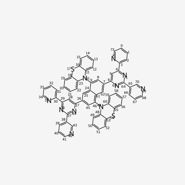 c1ccc(-c2cc(-c3cc(N4c5ccccc5Sc5ccccc54)c4cc(-c5cc(-c6ccccn6)nc(-c6cccnc6)n5)cc(N5c6ccccc6Sc6ccccc65)c4c3)nc(-c3cccnc3)n2)nc1